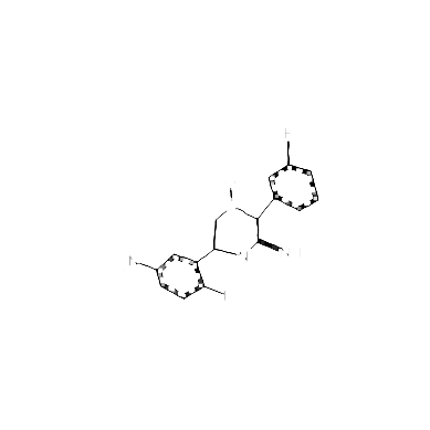 N=C1NC(c2cc(N)ccc2F)C[S+]([O-])C1c1cccc(F)c1